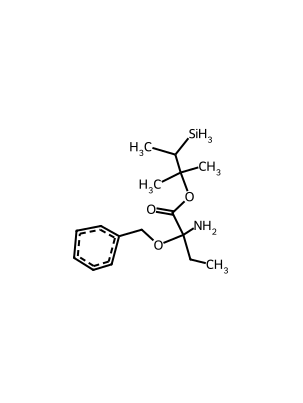 CCC(N)(OCc1ccccc1)C(=O)OC(C)(C)C(C)[SiH3]